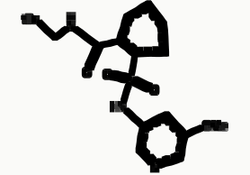 COc1cncc(NS(=O)(=O)c2ccccc2C(=O)NCC(C)(C)C)c1